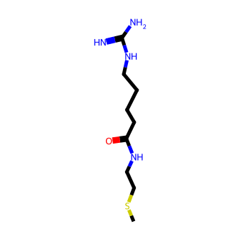 CSCCNC(=O)CCCCNC(=N)N